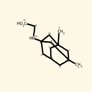 CC12CC3CC(C)(C1)CC(NCC(=O)O)(C3)C2